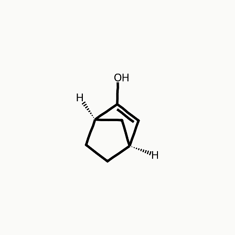 OC1=C[C@H]2CC[C@@H]1C2